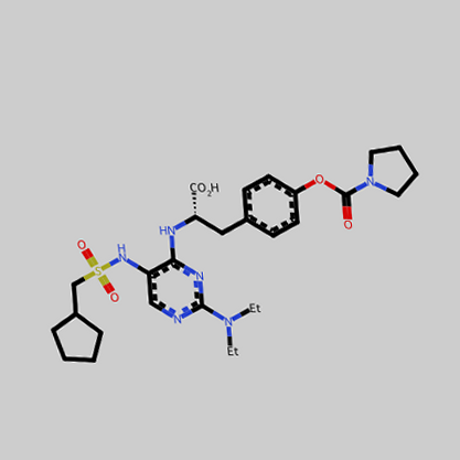 CCN(CC)c1ncc(NS(=O)(=O)CC2CCCC2)c(N[C@@H](Cc2ccc(OC(=O)N3CCCC3)cc2)C(=O)O)n1